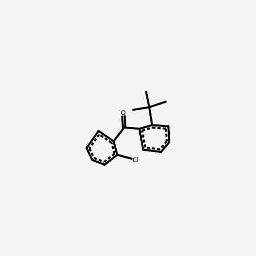 CC(C)(C)c1ccccc1C(=O)c1ccccc1Cl